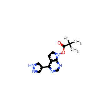 CCC(C)(C)C(=O)On1ccc2c(-c3cn[nH]c3)ncnc21